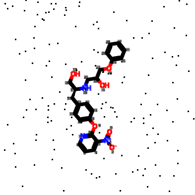 O=[N+]([O-])c1cccnc1Oc1ccc(C[C@@H](CO)NCC(O)COc2ccccc2)cc1